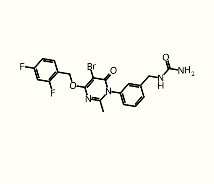 Cc1nc(OCc2ccc(F)cc2F)c(Br)c(=O)n1-c1cccc(CNC(N)=O)c1